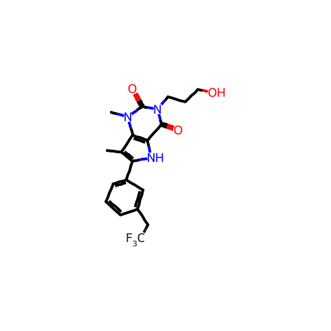 Cc1c(-c2cccc(CC(F)(F)F)c2)[nH]c2c(=O)n(CCCO)c(=O)n(C)c12